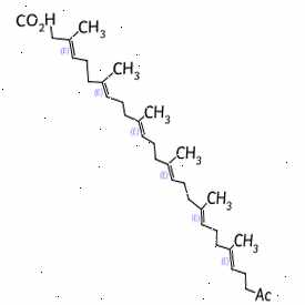 CC(=O)CC/C=C(\C)CC/C=C(\C)CC/C=C(\C)CC/C=C(\C)CC/C=C(\C)CC/C=C(\C)CC(=O)O